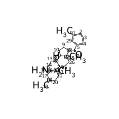 Cc1cccc(C(=O)[C@H]2CCC3[C@@H]4CC[C@]5(N)C[C@@H](C)CC[C@]5(C)C4CC[C@@]32C)c1